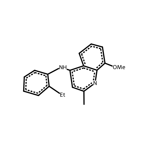 CCc1ccccc1Nc1cc(C)nc2c(OC)cccc12